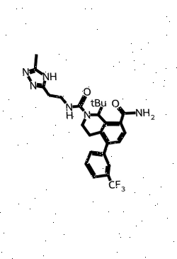 Cc1nnc(CCNC(=O)N2CCc3c(-c4cccc(C(F)(F)F)c4)ccc(C(N)=O)c3C2C(C)(C)C)[nH]1